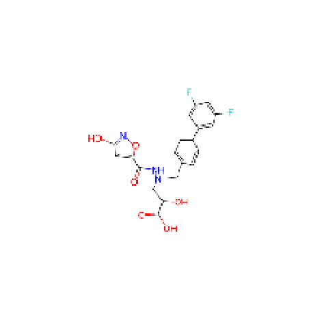 O=C(NN(Cc1ccc(-c2cc(F)cc(F)c2)cc1)CC(O)C(=O)O)c1cc(O)no1